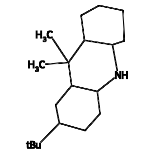 CC(C)(C)C1CCC2NC3CCCCC3C(C)(C)C2C1